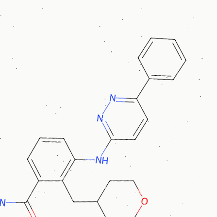 NC(=O)c1cccc(Nc2ccc(-c3ccccc3)nn2)c1CC1CCOCC1